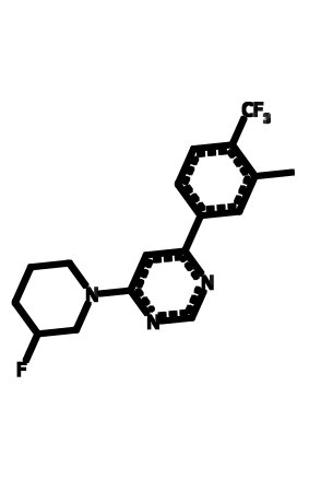 Cc1cc(-c2cc(N3CCCC(F)C3)ncn2)ccc1C(F)(F)F